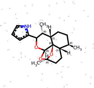 C[C@@H]1CC[C@H]2[C@@H](C)C(c3ccc[nH]3)O[C@@H]3O[C@]4(C)CC[C@@H]1[C@]32O4